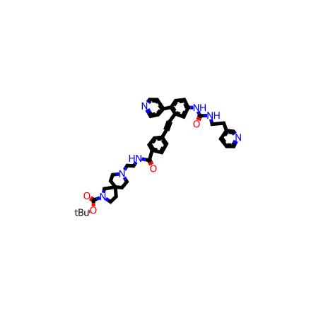 CC(C)(C)OC(=O)N1CCC2(CCN(CCNC(=O)c3ccc(C#Cc4cc(NC(=O)NCCc5cccnc5)ccc4-c4ccncc4)cc3)CC2)C1